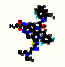 CN(C)CCNc1nc2nc([C@H](Cc3cc(F)cc(F)c3)NC(=O)Cn3nc(C(F)(F)F)c4c3C(F)(F)[C@@H]3CC[C@H]43)c(-c3cccc4c(NS(C)(=O)=O)nn(C)c34)cc2s1